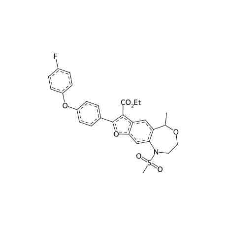 CCOC(=O)c1c(-c2ccc(Oc3ccc(F)cc3)cc2)oc2cc3c(cc12)C(C)OCCN3S(C)(=O)=O